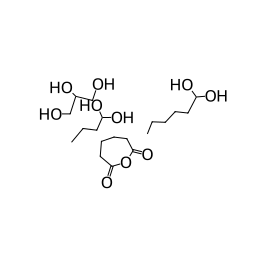 CCCC(O)O.CCCCCC(O)O.O=C1CCCCC(=O)O1.OCC(O)CO